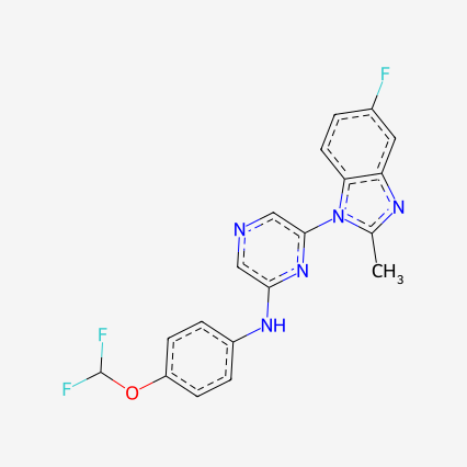 Cc1nc2cc(F)ccc2n1-c1cncc(Nc2ccc(OC(F)F)cc2)n1